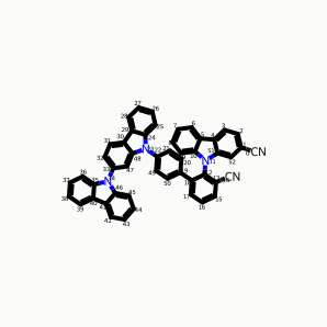 N#Cc1ccc2c3ccccc3n(-c3c(C#N)cccc3-c3ccc(-n4c5ccccc5c5ccc(-n6c7ccccc7c7ccccc76)cc54)cc3)c2c1